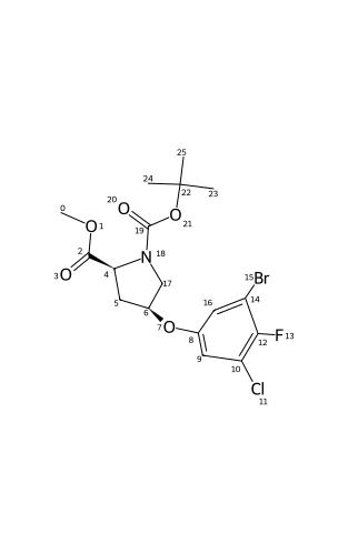 COC(=O)[C@@H]1C[C@H](Oc2cc(Cl)c(F)c(Br)c2)CN1C(=O)OC(C)(C)C